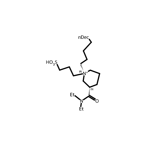 CCCCCCCCCCCCCC[N@+]1(CCCS(=O)(=O)O)CCC[C@H](C(=O)N(CC)CC)C1